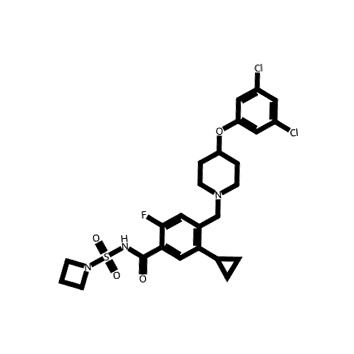 O=C(NS(=O)(=O)N1CCC1)c1cc(C2CC2)c(CN2CCC(Oc3cc(Cl)cc(Cl)c3)CC2)cc1F